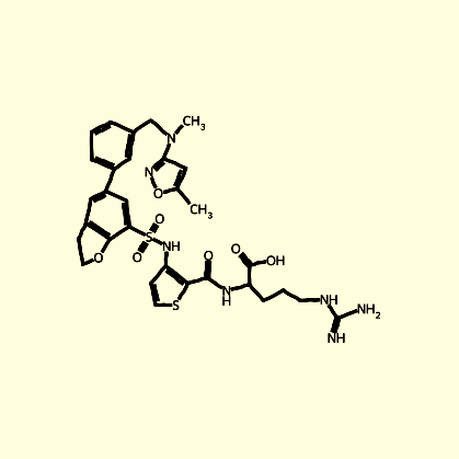 Cc1cc(N(C)Cc2cccc(-c3cc4c(c(S(=O)(=O)Nc5ccsc5C(=O)NC(CCCNC(=N)N)C(=O)O)c3)OCC4)c2)no1